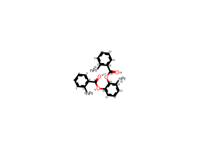 CCCc1ccccc1C(=O)Oc1cccc(CCC)c1OC(=O)c1ccccc1CCC